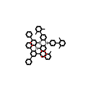 Cc1cccc(C)c1-c1ccc(N2c3ccc(-c4c(C)cccc4C)cc3B3c4cc(-c5ccccc5)ccc4N(c4c(-c5ccccc5)cc(-c5ccccc5)cc4-c4ccccc4)c4cc(-c5c(C)cccc5C)cc2c43)cc1